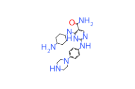 NC(=O)c1cnc(Nc2ccc(N3CCNCC3)cc2)nc1N[C@H]1CC[C@H](N)CC1